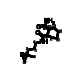 CC1(CCCNC(=O)C2CCCCC2C(N)=O)CO1